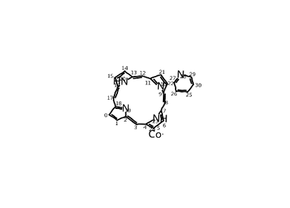 C1=Cc2cc3ccc(cc4nc(cc5ccc(cc1n2)[nH]5)C=C4)[nH]3.[Co].c1ccncc1